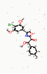 COc1cc(-c2coc(C(=O)C(OC)c3ccc(C)cc3)n2)cc(OC)c1Br